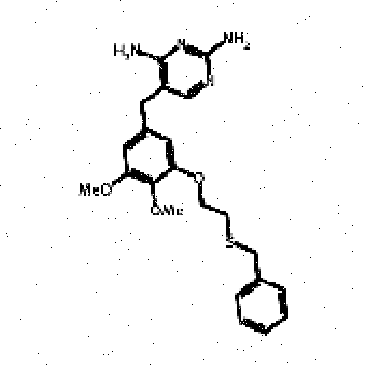 COc1cc(Cc2cnc(N)nc2N)cc(OCCSCc2ccccc2)c1OC